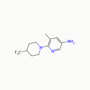 Cc1cc(N)cnc1N1CCC(C(F)(F)F)CC1